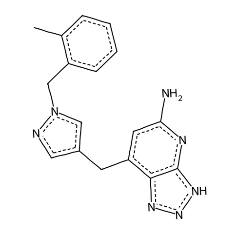 Cc1ccccc1Cn1cc(Cc2cc(N)nc3[nH]nnc23)cn1